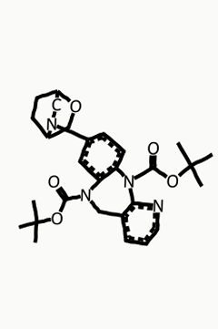 CC(C)(C)OC(=O)N1Cc2cccnc2N(C(=O)OC(C)(C)C)c2ccc(N3CC4CCC3CO4)cc21